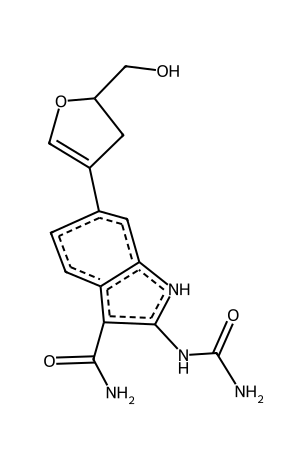 NC(=O)Nc1[nH]c2cc(C3=COC(CO)C3)ccc2c1C(N)=O